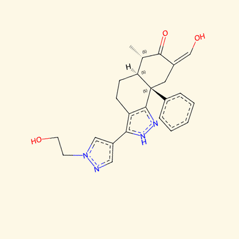 C[C@@H]1C(=O)C(=CO)C[C@]2(c3ccccc3)c3n[nH]c(-c4cnn(CCO)c4)c3CC[C@@H]12